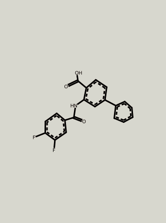 O=C(Nc1cc(-c2ccccc2)ccc1C(=O)O)c1ccc(F)c(F)c1